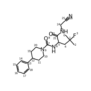 CC(C)(F)CC(NC(=O)N1CCC(c2ccccc2)CC1)C(=O)NCC#N